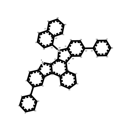 c1ccc(-c2ccc3sc4c(c3c2)c2ccccc2c2c3cc(-c5ccccc5)ccc3n(-c3cccc5ccccc35)c42)cc1